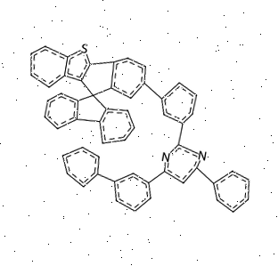 c1ccc(-c2cccc(-c3cc(-c4ccccc4)nc(-c4cccc(-c5ccc6c(c5)C5(c7ccccc7-c7ccccc75)c5c-6sc6ccccc56)c4)n3)c2)cc1